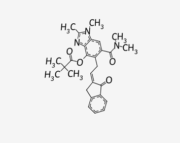 Cc1nc2c(OC(=O)C(C)(C)C)c(CC=C3Cc4ccccc4C3=O)c(C(=O)N(C)C)cc2n1C